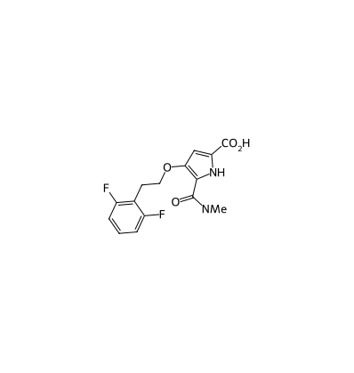 CNC(=O)c1[nH]c(C(=O)O)cc1OCCc1c(F)cccc1F